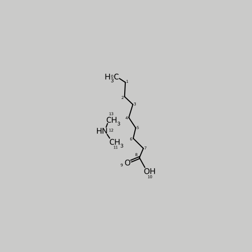 CCCCCCCCC(=O)O.CNC